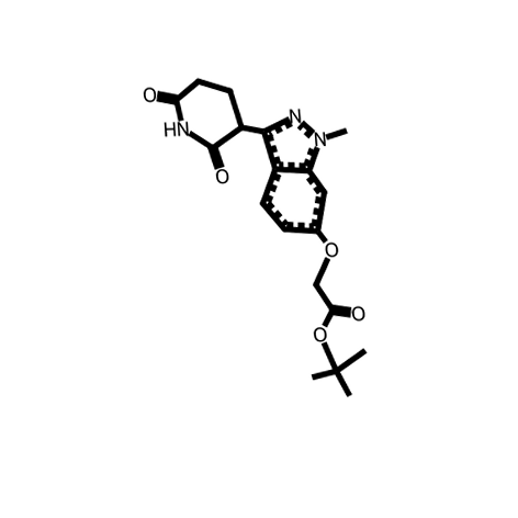 Cn1nc(C2CCC(=O)NC2=O)c2ccc(OCC(=O)OC(C)(C)C)cc21